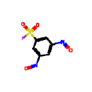 O=Nc1cc(N=O)cc(S(=O)(=O)I)c1